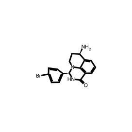 N[C@@H]1CCN2c3c(cccc31)C(=O)N[C@H]2c1ccc(Br)cc1